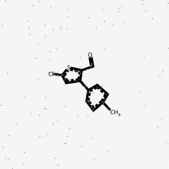 Cc1ccc(-c2cc(Cl)sc2C=O)cc1